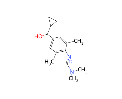 Cc1cc(C(O)C2CC2)cc(C)c1/N=C/N(C)C